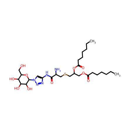 CCCCCCC(=O)OCC(CSCC(N)C(=O)Nc1cn(C2OC(CO)C(O)C(O)C2O)nn1)OC(=O)CCCCCC